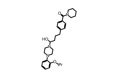 CC(C)Oc1ccccc1N1CCN(C(O)CCCc2ccc(C(=O)N3CCCCC3)cc2)CC1